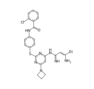 CC/C(N)=C/C(=N)Nc1cc(N2CCC2)nc(Sc2ccc(NC(=O)c3ccccc3Cl)cc2)n1